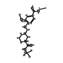 CCOC(=O)c1ccc(OCC2CCCN(C(=O)OC(C)(C)C)C2)c(OC)c1